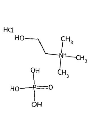 C[N+](C)(C)CCO.Cl.O=P(O)(O)O